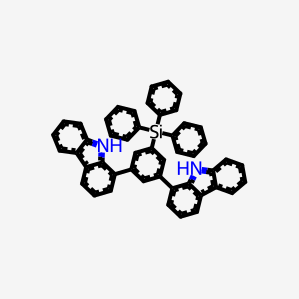 c1ccc([Si](c2ccccc2)(c2ccccc2)c2cc(-c3cccc4c3[nH]c3ccccc34)cc(-c3cccc4c3[nH]c3ccccc34)c2)cc1